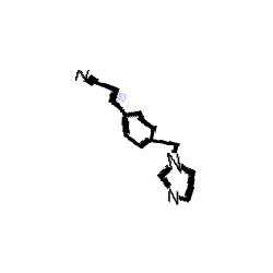 N#C/C=C/c1ccc(Cn2ccnc2)cc1